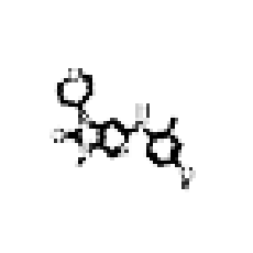 COc1ccc(Nc2cc3c(cn2)n(C)c(=O)n3C2CCOCC2)c(C)c1